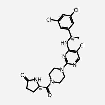 C[C@@H](Nc1nc(N2CCN(C(=O)[C@H]3CCC(=O)N3)CC2)ncc1Cl)c1cc(Cl)cc(Cl)c1